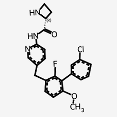 COc1ccc(Cc2ccc(NC(=O)[C@H]3CCN3)nc2)c(F)c1-c1cccc(Cl)c1